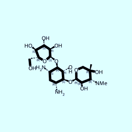 CN[C@@H]1[C@@H](O)[C@@H](O[C@@H]2[C@@H](O)[C@H](O[C@H]3O[C@H](CO)[C@@H](O)[C@H](O)[C@H]3O)[C@@H](N)C[C@H]2N)OC[C@]1(C)O